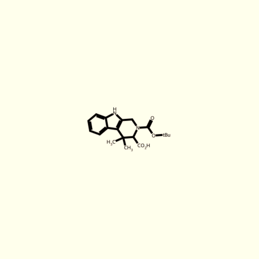 CC(C)(C)OC(=O)N1Cc2[nH]c3ccccc3c2C(C)(C)C1C(=O)O